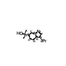 CC(C)c1cnn2cc(C(C)(C)O)ccc12